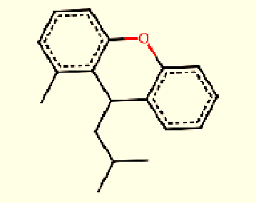 Cc1cccc2c1C(CC(C)C)c1ccccc1O2